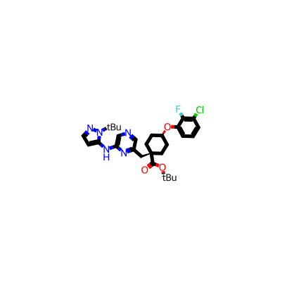 CC(C)(C)OC(=O)[C@]1(Cc2cncc(Nc3ccnn3C(C)(C)C)n2)CC[C@@H](Oc2cccc(Cl)c2F)CC1